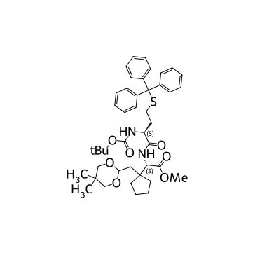 COC(=O)[C@@H](NC(=O)[C@H](CCSC(c1ccccc1)(c1ccccc1)c1ccccc1)NC(=O)OC(C)(C)C)C1(CC2OCC(C)(C)CO2)CCCC1